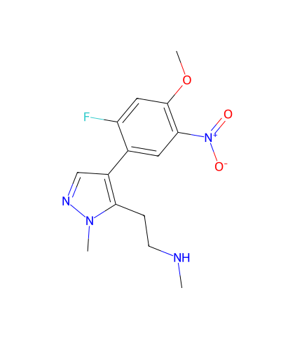 CNCCc1c(-c2cc([N+](=O)[O-])c(OC)cc2F)cnn1C